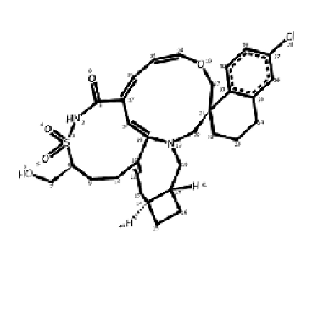 O=C1NS(=O)(=O)[C@H](CO)CCC2=C\C[C@@H]3CC[C@H]3CN3C[C@@]4(CCCc5cc(Cl)ccc54)COC=CC=C1\C=C\23